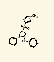 Cn1cnc(S(=O)(=O)N2C[C@@H](Nc3ccc(C(F)(F)F)cc3)[C@H](c3ccccc3)C2)c1